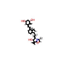 C=C1/C(=C\C=C2/CCC[C@]3(C)[C@@H]([C@H](C)/C=C/[C@@H](O)C4(C5=N[C@H](CC)CO5)CC4)CC[C@@H]23)C[C@@H](O)C[C@@H]1O